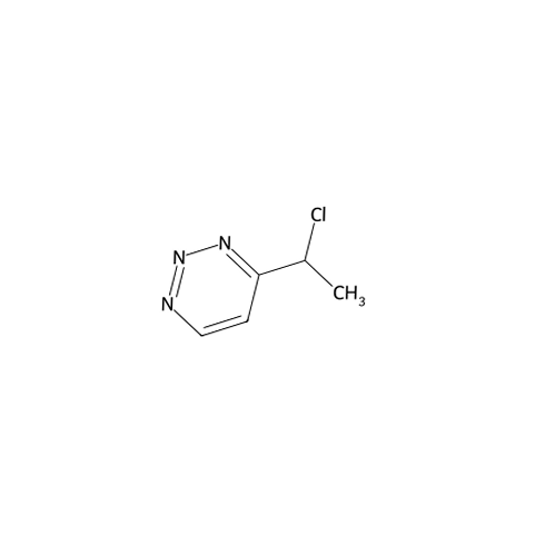 CC(Cl)c1ccnnn1